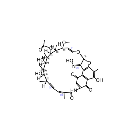 CO[C@H]1/C=C/O[C@@]2(C)Oc3c(C)c(O)c4c(c3/C2=N/O)C(=O)C=C(NC(=O)/C(C)=C\C=C\[C@H](C)[C@H](O)[C@@H](C)[C@@H](O)[C@@H](C)[C@H](OC(C)=O)[C@@H]1C)C4=O